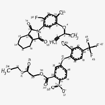 C#CC(C)Oc1cc(N2C(=O)C3=C(CCCC3)C2=O)c(F)cc1Cl.CCOC(=O)COC(=O)c1cc(Oc2ccc(C(F)(F)F)cc2Cl)ccc1[N+](=O)[O-]